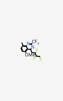 COc1ccc(C)c2nc(C(F)(F)F)nc(CC(F)C(F)CF)c12